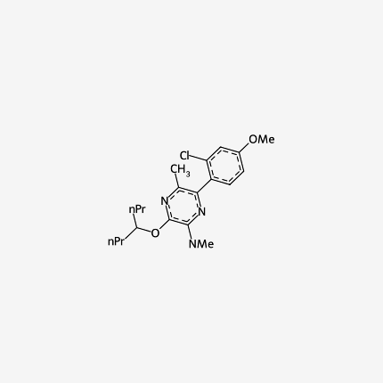 CCCC(CCC)Oc1nc(C)c(-c2ccc(OC)cc2Cl)nc1NC